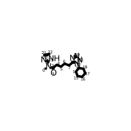 CN(C(=O)CCCCc1nnnn1C1CCCCC1)c1ncc[nH]1